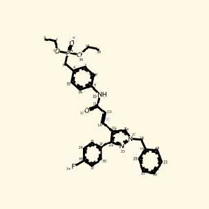 CCOP(=O)(Cc1ccc(NC(=O)/C=C/c2cn(Cc3ccccc3)nc2-c2ccc(F)cc2)cc1)OCC